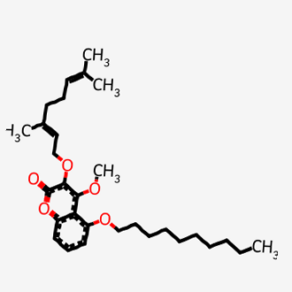 CCCCCCCCCCOc1cccc2oc(=O)c(OC/C=C(\C)CCC=C(C)C)c(OC)c12